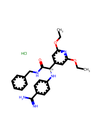 CCOc1cc([C@H](Nc2ccc(C(=N)N)cc2)C(=O)NCc2ccccc2)cc(OCC)n1.Cl